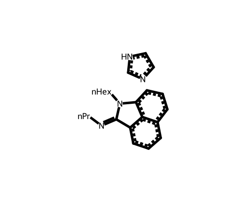 CCCCCCN1C(=NCCC)c2cccc3cccc1c23.c1c[nH]cn1